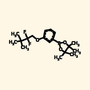 CC(C)(C)C(F)(F)COc1cccc(B2OC(C)(C)C(C)(C)O2)c1